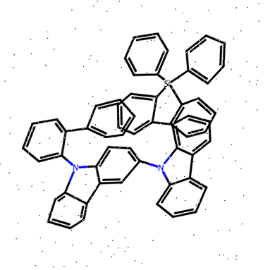 c1ccc(-c2ccccc2-n2c3ccccc3c3cc(-n4c5ccccc5c5cccc(-c6ccccc6[Si](c6ccccc6)(c6ccccc6)c6ccccc6)c54)ccc32)cc1